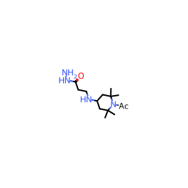 CC(=O)N1C(C)(C)CC(NCCC(=O)NN)CC1(C)C